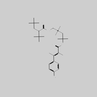 C/C(C(=O)OC(C)(C)CC(C)(C)COC(=O)C(CC(C)(C)C)C(C)(C)C)=C(/C)c1ccc(O)cc1